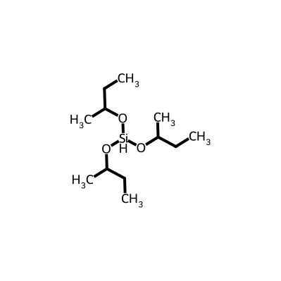 CCC(C)O[SiH](OC(C)CC)OC(C)CC